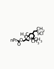 C=C(CC1CC(C)(C)N2CC(COC(=O)CCC)OC2(C)C1)SCl